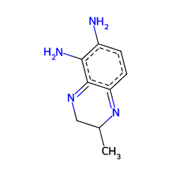 CC1CN=c2c(N)c(N)ccc2=N1